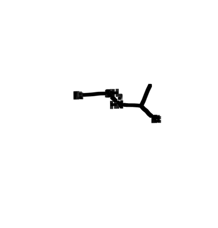 CC[SiH2]NC(C)CC